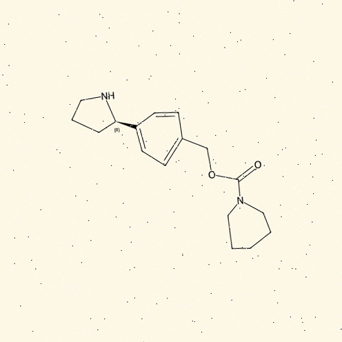 O=C(OCc1ccc([C@H]2CCCN2)cc1)N1CCCCC1